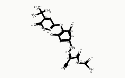 CC(C)(C)c1cc(Oc2c(Cl)cc(N/N=C(/C#N)C(=O)NC(=O)O)cc2Cl)n[nH]c1=O